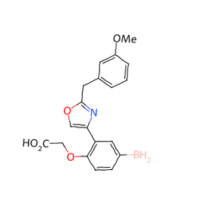 Bc1ccc(OCC(=O)O)c(-c2coc(Cc3cccc(OC)c3)n2)c1